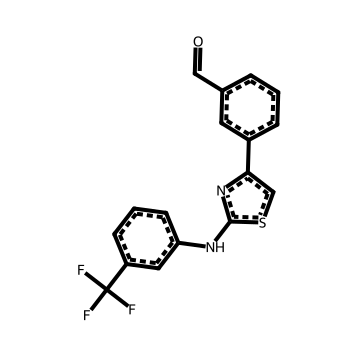 O=Cc1cccc(-c2csc(Nc3cccc(C(F)(F)F)c3)n2)c1